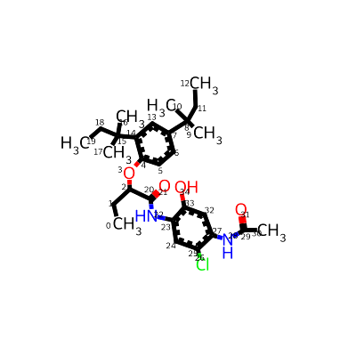 CCC(Oc1ccc(C(C)(C)CC)cc1C(C)(C)CC)C(=O)Nc1cc(Cl)c(NC(C)=O)cc1O